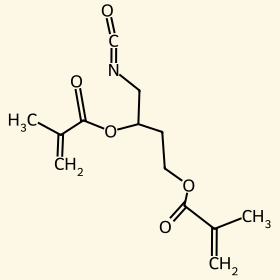 C=C(C)C(=O)OCCC(CN=C=O)OC(=O)C(=C)C